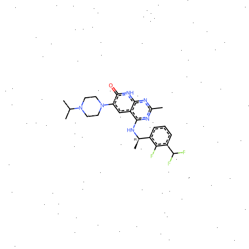 Cc1nc(N[C@H](C)c2cccc(C(F)F)c2F)c2cc(N3CCN(C(C)C)CC3)c(=O)[nH]c2n1